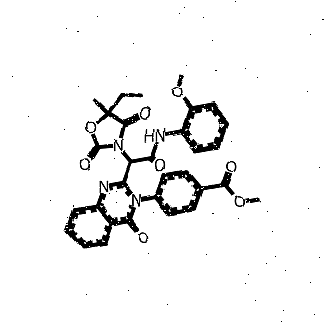 CCC1(C)OC(=O)N(C(C(=O)Nc2ccccc2OC)c2nc3ccccc3c(=O)n2-c2ccc(C(=O)OC)cc2)C1=O